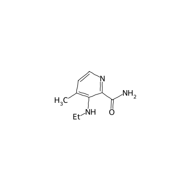 CCNc1c(C)ccnc1C(N)=O